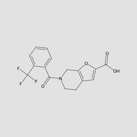 O=C(O)c1cc2c(o1)CN(C(=O)c1ccccc1C(F)(F)F)CC2